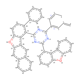 C=C/C=C(\C=C/C)c1nc(-c2cccc3oc4ccccc4c23)nc(-c2c(-c3ccccc3)ccc3oc4cc5ccccc5cc4c23)n1